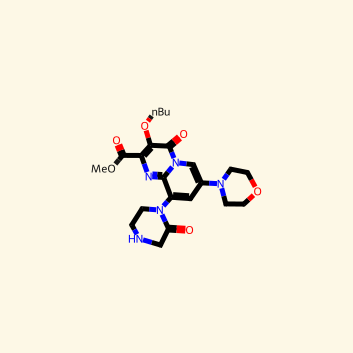 CCCCOc1c(C(=O)OC)nc2c(N3CCNCC3=O)cc(N3CCOCC3)cn2c1=O